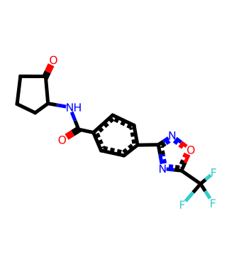 O=C(NC1CCCC1=O)c1ccc(-c2noc(C(F)(F)F)n2)cc1